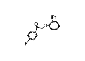 CC(C)c1ccccc1OCC(=O)c1ccc(F)cc1